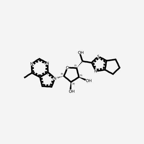 Cc1ncnc2c1ccn2[C@@H]1O[C@H](C(O)c2nc3c(s2)CCC3)[C@@H](O)[C@H]1O